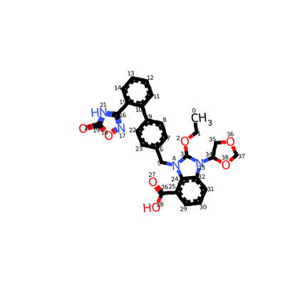 CCOC1N(Cc2ccc(-c3ccccc3-c3noc(=O)[nH]3)cc2)c2c(C(=O)O)cccc2N1C1COCO1